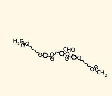 C=CC(=O)OCCCCCCOc1ccc(C(=O)OCCc2ccc(OC(=O)c3ccc(OCCCCCCOC(=O)C=C)cc3)c(C=O)c2)cc1